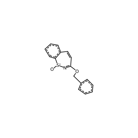 [O-][S+]1N=C(OCc2ccccc2)C=Cc2ccccc21